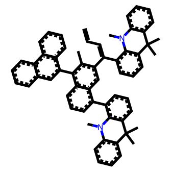 C=C/C=C(\c1cc2c(-c3cccc4c3N(C)c3ccccc3C4(C)C)cccc2c(-c2cc3ccccc3c3ccccc23)c1C)c1cccc2c1N(C)c1ccccc1C2(C)C